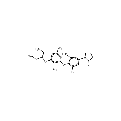 CCC(CC)Oc1cc(C)nc(Oc2c(C)cc(N3CCCC3=O)cc2C)c1C